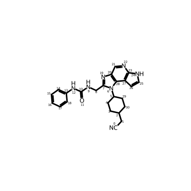 N#CCC1CCC(n2c(CNC(=O)Nc3ccccc3)nc3cnc4[nH]ccc4c32)CC1